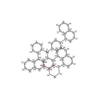 c1ccc(N(c2ccc(-c3cccc4ccccc34)cc2)c2ccccc2-c2cccc3cccc(C4CCCCC4)c23)c(-c2cccc3ccccc23)c1